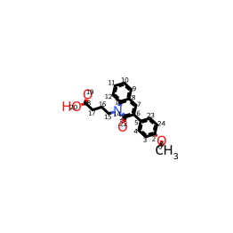 COc1ccc(-c2cc3ccccc3n(CCCC(=O)O)c2=O)cc1